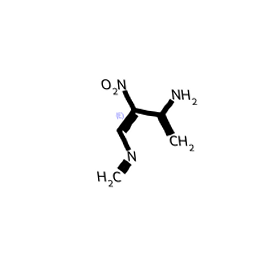 C=N/C=C(\C(=C)N)[N+](=O)[O-]